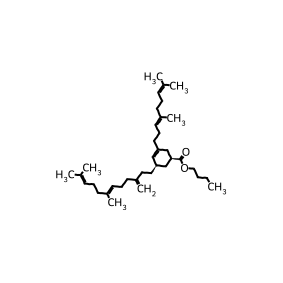 C=C(CC/C=C(\C)CCC=C(C)C)CC[C@H]1C=C(CC/C=C(\C)CCC=C(C)C)C[C@@H](C(=O)OCCCC)C1